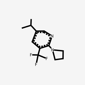 CC(C)c1cnc(N2CCC2)c(C(F)(F)F)c1